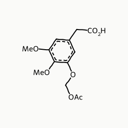 COc1cc(CC(=O)O)cc(OCOC(C)=O)c1OC